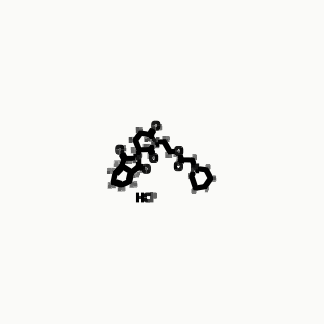 Cl.O=C(CN1CCCCC1)OCCN1C(=O)CCC(N2C(=O)c3ccccc3C2=O)C1=O